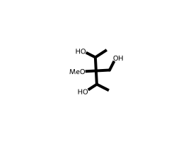 COC(CO)(C(C)O)C(C)O